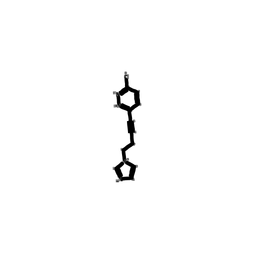 Clc1ccc(C#CCCn2ccnc2)nn1